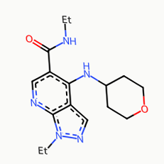 CCNC(=O)c1cnc2c(cnn2CC)c1NC1CCOCC1